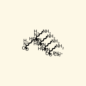 NCCCCC(N)C(=O)O.NCCCCC(N)C(=O)O.NCCCCC(N)C(=O)O.NCCCCC(N)C(=O)[O-].NCCCCC(N)C(=O)[O-].P.[Ca+2]